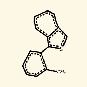 Cc1ccccc1-c1scc2ccccc12